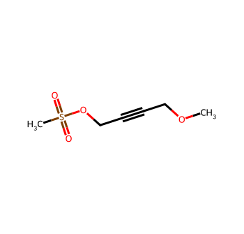 COCC#CCOS(C)(=O)=O